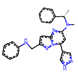 C[C@@H](c1ccccc1)N(C)c1cc(-c2cn[nH]c2)n2nc(CNc3ccccc3)cc2n1